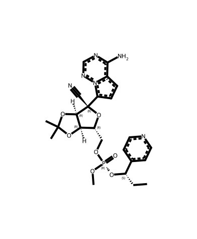 CC[C@H](O[P@](=O)(OC)OC[C@H]1O[C@@](C#N)(c2ccc3c(N)ncnn23)[C@@H]2OC(C)(C)O[C@@H]21)c1ccncc1